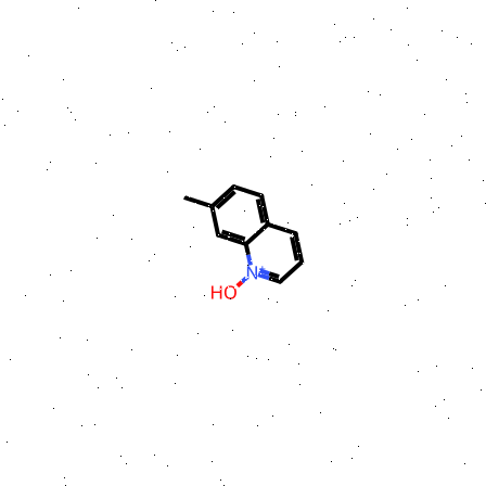 Cc1ccc2ccc[n+](O)c2c1